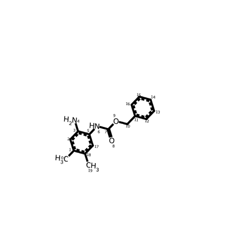 Cc1cc(N)c(NC(=O)OCc2ccccc2)cc1C